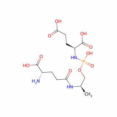 C[C@H](COP(=O)(O)N[C@@H](CCC(=O)O)C(=O)O)NC(=O)CC[C@H](N)C(=O)O